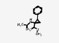 COC(=O)C1(NC(C)=O)CC1c1ccccc1